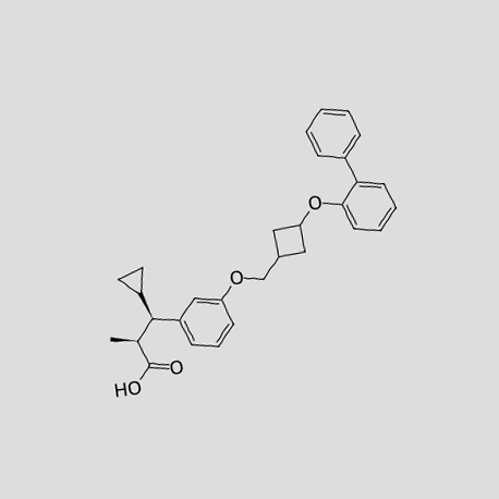 C[C@H](C(=O)O)[C@H](c1cccc(OCC2CC(Oc3ccccc3-c3ccccc3)C2)c1)C1CC1